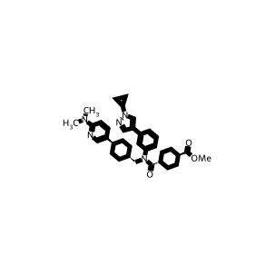 COC(=O)[C@H]1CC[C@H](C(=O)N(C[C@H]2CC[C@H](c3ccc(N(C)C)nc3)CC2)c2cccc(-c3cnn(C4CC4)c3)c2)CC1